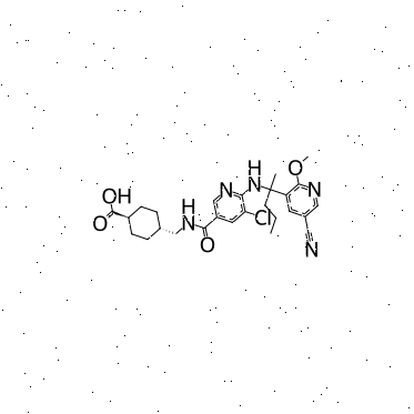 CCCC(C)(Nc1ncc(C(=O)NC[C@H]2CC[C@H](C(=O)O)CC2)cc1Cl)c1cc(C#N)cnc1OC